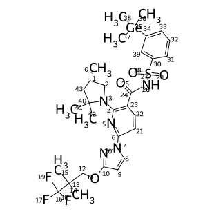 C[C@@H]1CN(c2nc(-n3ccc(OCC(C)(C)C(F)(F)F)n3)ccc2C(=O)NS(=O)(=O)c2ccc[c]([Ge]([CH3])([CH3])[CH3])c2)C(C)(C)C1